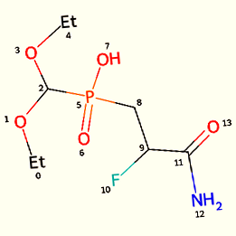 CCOC(OCC)P(=O)(O)CC(F)C(N)=O